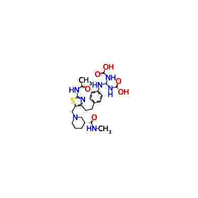 CNC(=O)[C@@H]1CCCN(Cc2sc(NC(C)=O)nc2CCc2ccc(NC(NC(=O)O)NC(=O)O)cc2)C1